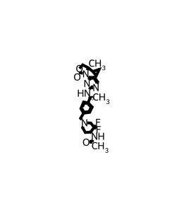 CC(=O)NC1CCN(Cc2ccc([C@H](C)Nc3nccc(N4C(=O)OCC4(C)C4CC4)n3)cc2)CC1(F)F